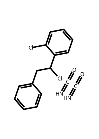 Clc1ccccc1C(Cl)Cc1ccccc1.N=C=O.N=C=O